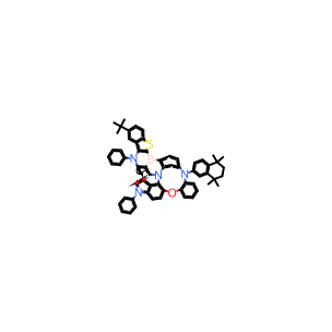 CC(C)(C)c1ccc2sc3c(c2c1)N(c1ccccc1)c1cccc2c1B3c1ccc3cc1N2c1c(ccc2c1c1ccccc1n2-c1ccccc1)Oc1ccccc1N3c1ccc2c(c1)C(C)(C)CCC2(C)C